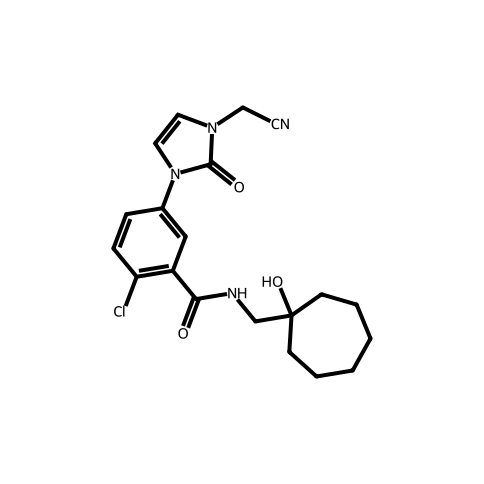 N#CCn1ccn(-c2ccc(Cl)c(C(=O)NCC3(O)CCCCCC3)c2)c1=O